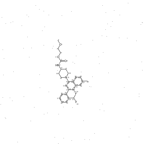 COCCOC(=O)NC1CCN(c2nc(-c3ccccc3C(F)F)nc3cc(C)ccc23)CC1